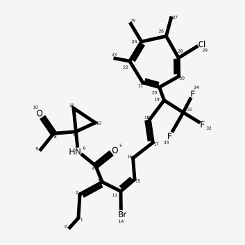 CC/C=C(C(=O)NC1(C(C)=O)CC1)\C(Br)=C/C/C=C/C(C1=CC(C)=C(C)C(C)C(Cl)=C1)C(F)(F)F